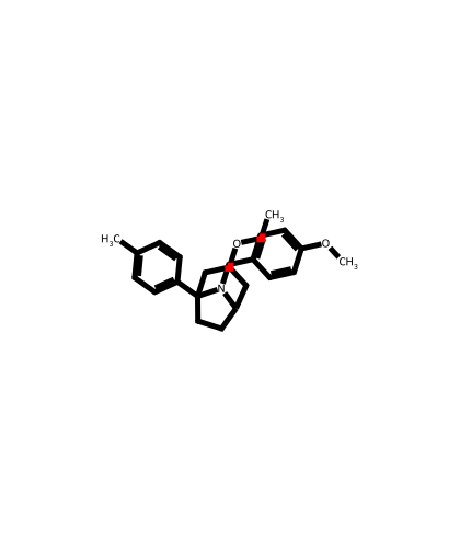 CCOC1CC2CCC(c3ccc(C)cc3)(C1)N2Cc1ccc(OC)cc1